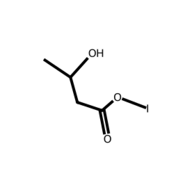 CC(O)CC(=O)OI